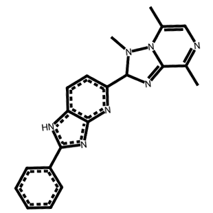 CC1=CN=C(C)C2=NC(c3ccc4[nH]c(-c5ccccc5)nc4n3)N(C)N12